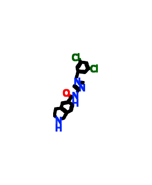 O=C(Nc1cn(Cc2cc(Cl)cc(Cl)c2)cn1)c1ccc2c(c1)CCNC2